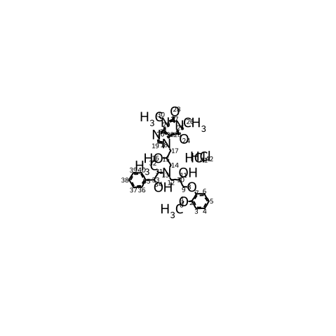 COc1ccccc1OCC(O)CN(CC(O)Cn1cnc2c1c(=O)n(C)c(=O)n2C)C(C)C(O)c1ccccc1.Cl.Cl